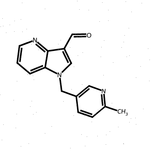 Cc1ccc(Cn2cc(C=O)c3ncccc32)cn1